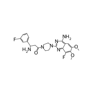 COc1cc2c(N)nc(N3CCN(C(=O)CC(N)c4cccc(F)c4)CC3)nc2c(F)c1OC